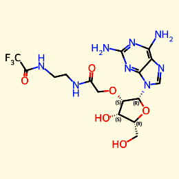 Nc1nc(N)c2ncn([C@@H]3O[C@H](CO)[C@H](O)[C@@H]3OCC(=O)NCCNC(=O)C(F)(F)F)c2n1